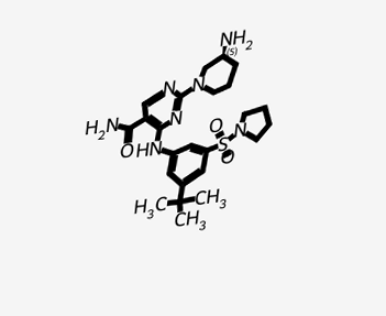 CC(C)(C)c1cc(Nc2nc(N3CCC[C@H](N)C3)ncc2C(N)=O)cc(S(=O)(=O)N2CCCC2)c1